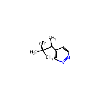 CCCC(C)(C)C(C)c1ccnnc1